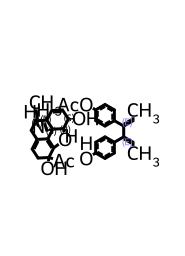 C/C=C(/C(=C/C)c1ccc(OC(C)=O)cc1)c1ccc(O)cc1.CC(=O)C1(O)CC=C2C[C@@H]3[C@@H]4C=C[C@H](O)[C@@H]5OC1=C2[C@]45CCN3C